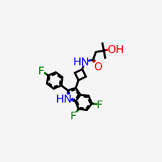 CC(C)(O)CC(=O)NC1CC(c2c(-c3ccc(F)cc3)[nH]c3c(F)cc(F)cc23)C1